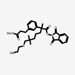 COC(=O)CCc1cccc(C(C)(CCCC(C)(C)CSCCN=O)C(=O)ON2C(=O)c3ccccc3C2=O)c1